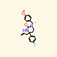 C=CCC1(c2ccc(F)cc2)CCN([C@@H](C)c2ccc(OC)cc2)C(=O)N1